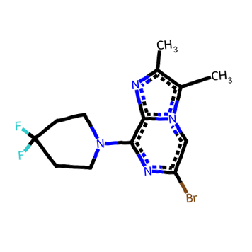 Cc1nc2c(N3CCC(F)(F)CC3)nc(Br)cn2c1C